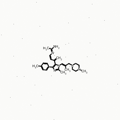 C=C(/C=C\N=C(/C)N)c1c(-c2ccc(C)cc2)nc(C)n1/C=C(\C)CN1CCN(C)CC1